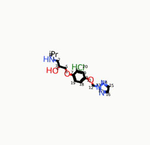 CC(C)NCC(O)COc1ccc(OCn2nccn2)cc1.Cl